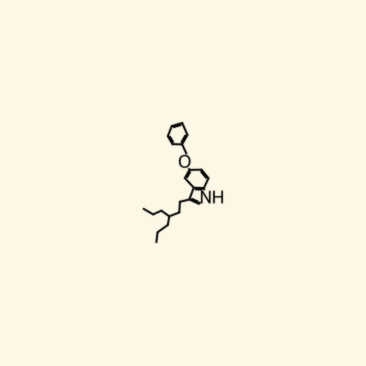 CCCC(CCC)CCc1c[nH]c2ccc(OCc3ccccc3)cc12